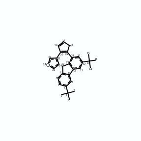 CC(C)(C)c1ccc2c(c1)-c1cc(C(C)(C)C)cc(C3=C(c4ccoc4)C=CC3)c1[CH]2